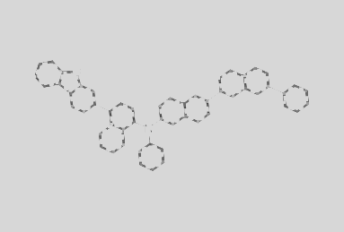 c1ccc(-c2ccc3ccc(-c4ccc5cc(N(c6ccccc6)c6ccc(-c7ccc8c(c7)oc7ccccc78)c7ccccc67)ccc5c4)cc3c2)cc1